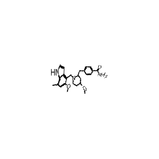 COc1cc(C)c2[nH]ccc2c1CN1CCC(OC)CC1Cc1ccc(C(N)=O)cc1